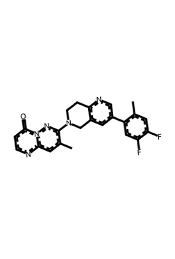 Cc1cc(F)c(F)cc1-c1cnc2c(c1)CN(c1nn3c(=O)ccnc3cc1C)CC2